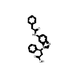 O=C(O)CC(c1ccccc1)n1cnc2ccc(NC(=O)Cc3ccccc3)cc21